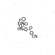 CCN(C(=O)C1C(=O)Nc2ccc(C(=O)c3ccc(C#N)cc3)cc21)c1ccccc1F